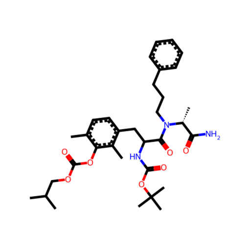 Cc1ccc(CC(NC(=O)OC(C)(C)C)C(=O)N(CCCc2ccccc2)[C@H](C)C(N)=O)c(C)c1OC(=O)OCC(C)C